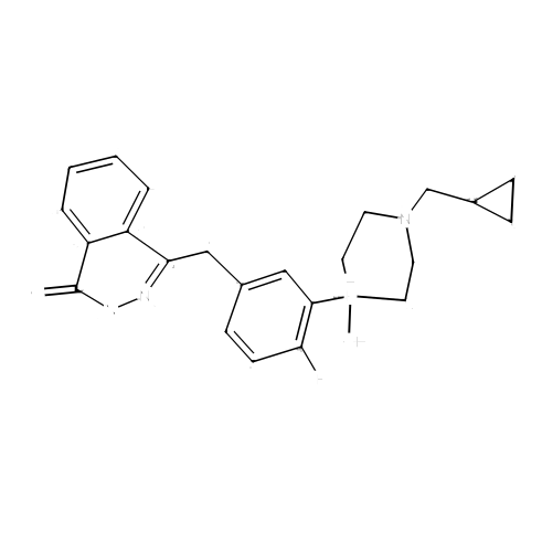 O=c1[nH]nc(Cc2ccc(F)c([PH]3(O)CCN(CC4CC4)CC3)c2)c2ccccc12